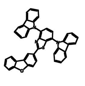 c1ccc2c(c1)oc1ccc(-c3nc4c(-n5c6ccccc6c6ccccc65)ccc(-n5c6ccccc6c6ccccc65)c4s3)cc12